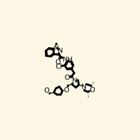 C[C@@H]1CN([C@H]2C[C@@H](CO[C@H]3CC[C@H](C=O)CC3)N(C(=O)Cc3ccc(NC(=O)c4nn(C)c5ccccc45)c(Cl)c3)C2)C[C@H](C)O1